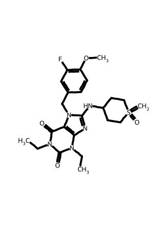 C=S1(=O)CCC(Nc2nc3c(c(=O)n(CC)c(=O)n3CC)n2Cc2ccc(OC)c(F)c2)CC1